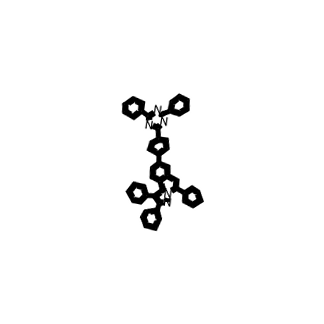 c1ccc(-c2nc(-c3ccccc3)nc(-c3ccc(-c4ccc5c(c4)cc(-c4ccccc4)n4nc(-c6ccccc6)c(-c6ccccc6)c54)cc3)n2)cc1